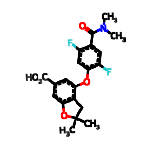 CN(C)C(=O)c1cc(F)c(Oc2cc(C(=O)O)cc3c2CC(C)(C)O3)cc1F